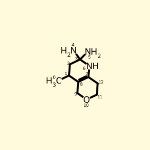 CC1CC(N)(N)NC2=C1COCC2